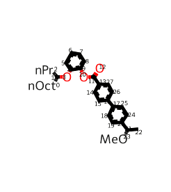 CCCCCCCCC(CCC)Oc1ccccc1OC(=O)c1ccc(-c2ccc(C(C)OC)cc2)cc1